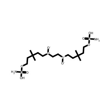 CC(C)(CCOP(N)(=O)O)CC[S+]([O-])CC[S+]([O-])CCC(C)(C)CCOP(N)(=O)O